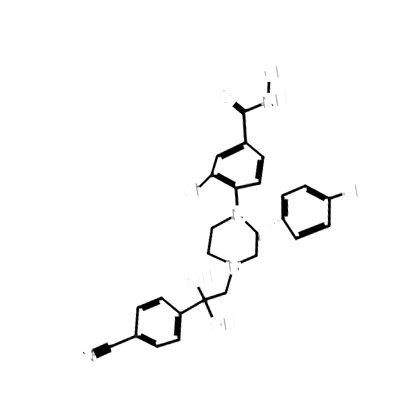 CNC(=O)c1ccc(N2CCN(CC(O)(O)c3ccc(C#N)cc3)C[C@H]2c2ccc(Cl)cc2)c(Cl)c1